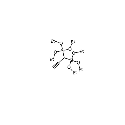 C#CC([Si](OCC)(OCC)OCC)[Si](OCC)(OCC)OCC